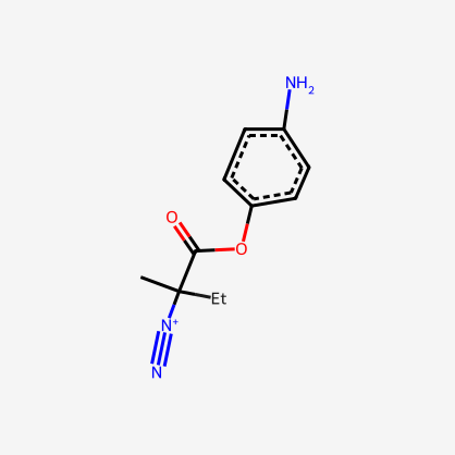 CCC(C)([N+]#N)C(=O)Oc1ccc(N)cc1